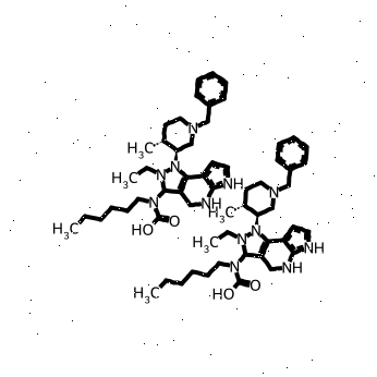 CCCCCCN(C(=O)O)C1C2=C(c3cc[nH]c3NC2)N([C@@H]2CN(Cc3ccccc3)CC[C@H]2C)N1CC.CCCCCCN(C(=O)O)C1C2=C(c3cc[nH]c3NC2)N([C@@H]2CN(Cc3ccccc3)CC[C@H]2C)N1CC